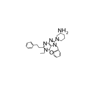 CCn1c(CCc2ccccc2)nc2nc(N3CCCC(N)C3)n(Cc3ccccc3)c2c1=O